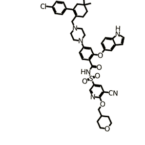 CC1(C)CCC(CN2CCN(c3ccc(C(=O)NS(=O)(=O)c4cnc(OCC5CCOCC5)c(C#N)c4)c(Oc4ccc5[nH]ccc5c4)c3)CC2)=C(c2ccc(Cl)cc2)C1